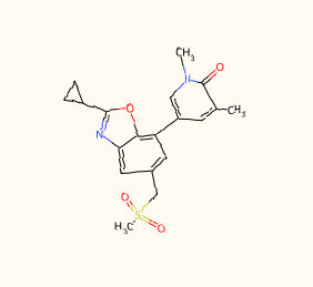 Cc1cc(-c2cc(CS(C)(=O)=O)cc3nc(C4CC4)oc23)cn(C)c1=O